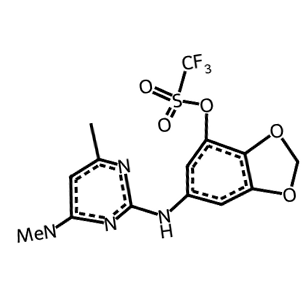 CNc1cc(C)nc(Nc2cc3c(c(OS(=O)(=O)C(F)(F)F)c2)OCO3)n1